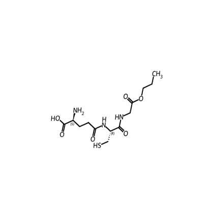 CCCOC(=O)CNC(=O)[C@H](CS)NC(=O)CC[C@H](N)C(=O)O